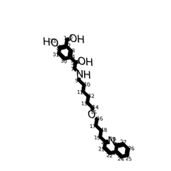 OCc1cc(C(O)CNCCCCCCOCCCCc2ccc3ccccc3n2)ccc1O